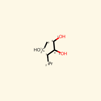 CC(=O)O.CC(C)CC(O)CO